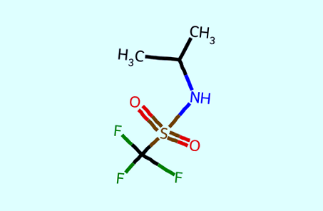 CC(C)NS(=O)(=O)C(F)(F)F